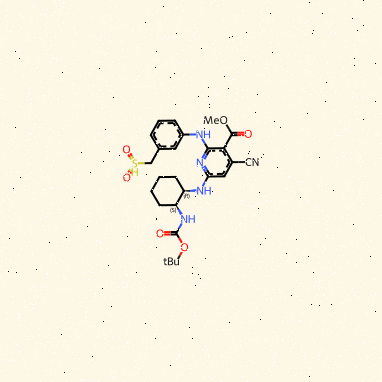 COC(=O)c1c(C#N)cc(N[C@@H]2CCCC[C@@H]2NC(=O)OC(C)(C)C)nc1Nc1cccc(C[SH](=O)=O)c1